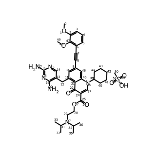 COc1cccc(C#Cc2cc(Cc3cnc(N)nc3N)c3c(=O)c(C(=O)OCCN(C(C)C)C(C)C)cn(C4CCCCC4)c3c2)c1OC.CS(=O)(=O)O